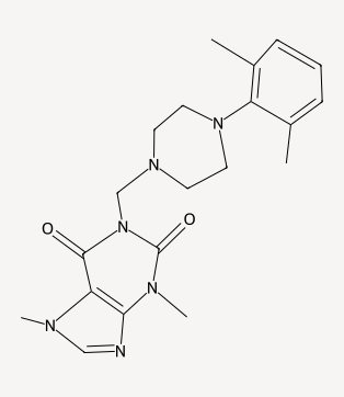 Cc1cccc(C)c1N1CCN(Cn2c(=O)c3c(ncn3C)n(C)c2=O)CC1